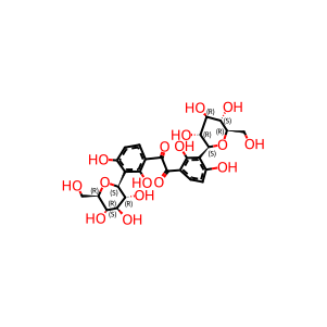 O=C(C(=O)c1ccc(O)c([C@@H]2O[C@H](CO)[C@@H](O)[C@H](O)[C@H]2O)c1O)c1ccc(O)c([C@@H]2O[C@H](CO)[C@@H](O)[C@H](O)[C@H]2O)c1O